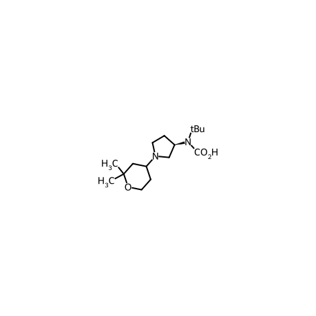 CC1(C)CC(N2CC[C@@H](N(C(=O)O)C(C)(C)C)C2)CCO1